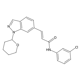 O=C(C=Cc1ccc2cnn(C3CCCCO3)c2c1)Nc1cccc(Cl)c1